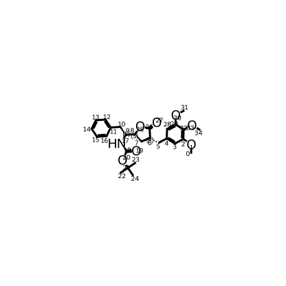 COc1cc(C[C@@H]2C[C@@H]([C@H](Cc3ccccc3)NC(=O)OC(C)(C)C)OC2=O)cc(OC)c1OC